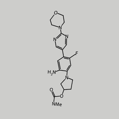 CNC(=O)OC1CCN(c2cc(F)c(-c3cnc(N4CCOCC4)nc3)cc2N)C1